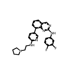 Fc1ccc(Nc2ncc3cccc(-c4ccc(NCCN5CCCC5)nc4)c3n2)cc1F